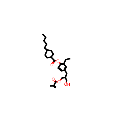 C=C(C)C(=O)OCC(CO)Cc1ccc(OC(=O)C2CCC(CCCCC)CC2)c(CC)c1